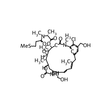 CSCCC(=O)N(C)[C@H](C)C(=O)O[C@H]1CC(=O)N(C)c2cc(cc(CO)c2Cl)C/C(C)=C/C=C/[C@@H](CO)[C@@]2(O)C[C@H](OC(=O)N2)[C@@H](C)[C@@H]2O[C@@]12C